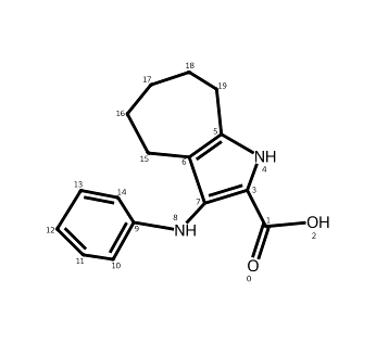 O=C(O)c1[nH]c2c(c1Nc1ccccc1)CCCCC2